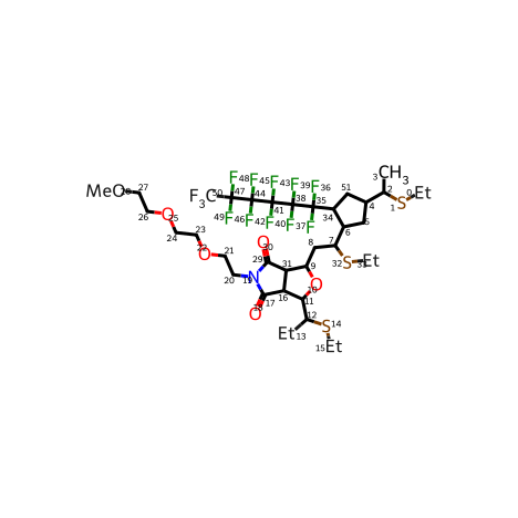 CCSC(C)C1CC(C(CC2OC(C(CC)SCC)C3C(=O)N(CCOCCOCCOC)C(=O)C23)SCC)C(C(F)(F)C(F)(F)C(F)(F)C(F)(F)C(F)(F)C(F)(F)F)C1